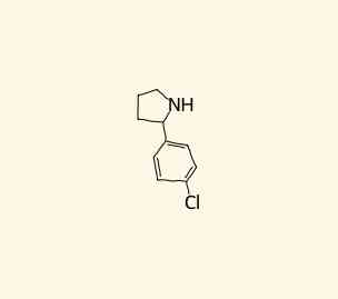 Clc1ccc(C2CCCN2)cc1